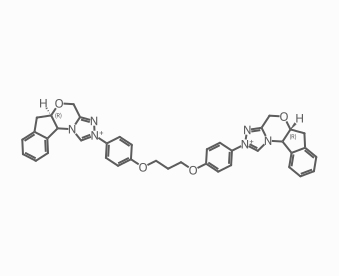 c1ccc2c(c1)C[C@H]1OCc3n[n+](-c4ccc(OCCCOc5ccc(-[n+]6cn7c(n6)CO[C@@H]6Cc8ccccc8C67)cc5)cc4)cn3C21